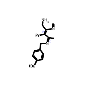 C=N/C(CN)=C(\C(C)=N/Cc1ccc(C(C)(C)C)cc1)C(C)C